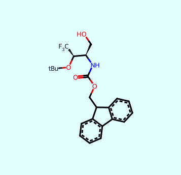 CC(C)(C)O[C@H]([C@@H](CO)NC(=O)OCC1c2ccccc2-c2ccccc21)C(F)(F)F